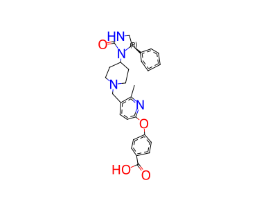 Cc1nc(Oc2ccc(C(=O)O)cc2)ccc1CN1CCC(N2C(=O)NC[C@H]2c2ccccc2)CC1